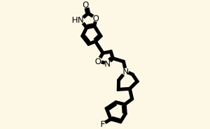 O=c1[nH]c2ccc(C3CC(CN4CCC(Cc5ccc(F)cc5)CC4)=NO3)cc2o1